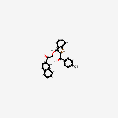 N#Cc1ccc(C(=O)c2sc3ccccc3c2OCC(=O)c2ccc3ccccc3c2)cc1